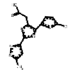 Cc1cc(-c2nc(CC(=O)O)c(-c3ccc(Cl)s3)o2)on1